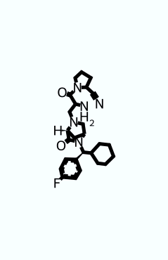 N#CC1CCCN1C(=O)C(N)CN1CC2C[C@H]1C(=O)N2[C@H](c1ccc(F)cc1)C1CCCCC1